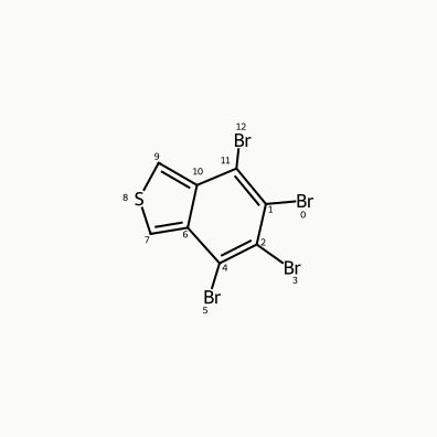 Brc1c(Br)c(Br)c2cscc2c1Br